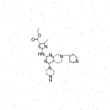 CCOC(=O)c1sc(Nc2nc3c(c(N4CCNCC4)n2)CCN(Cc2ccncc2)C3)nc1C